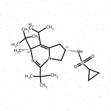 CC(C)C1=C2C[C@H](NS(=O)(=O)C3CC3)CN2C(C(C)(C)C)=N[C@@]1(C)C(C)(C)C